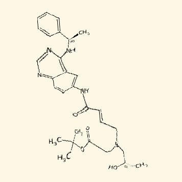 C[C@H](O)CN(CC=CC(=O)Nc1ccc2ncnc(N[C@H](C)c3ccccc3)c2c1)CC(=O)OC(C)(C)C